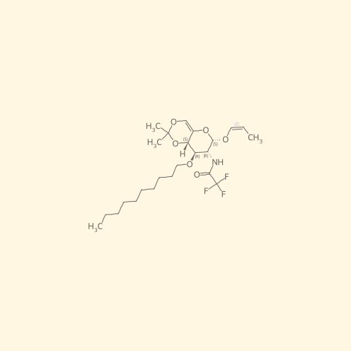 C/C=C\O[C@H]1OC2=COC(C)(C)O[C@H]2[C@H](OCCCCCCCCCC)[C@H]1NC(=O)C(F)(F)F